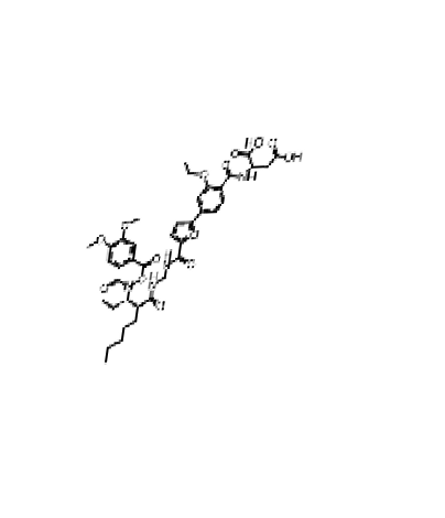 CCCCCC(C(=O)NCNC(=O)c1ccc(-c2ccc(C(=O)NC(CC(=O)O)C(=O)O)c(OCC)c2)o1)[C@@H](CC)N(C=O)OC(=O)c1ccc(OC)c(OC)c1